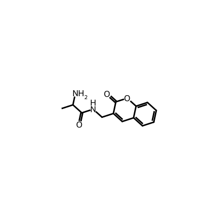 CC(N)C(=O)NCc1cc2ccccc2oc1=O